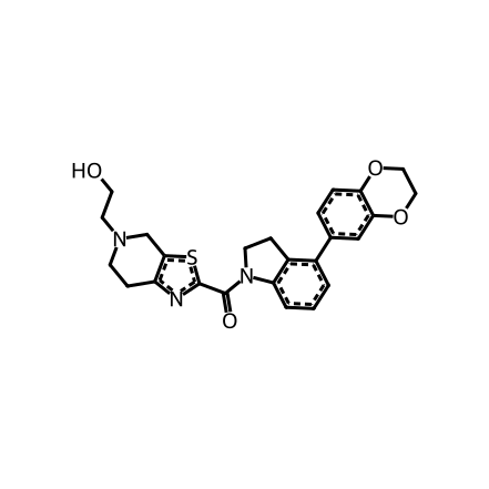 O=C(c1nc2c(s1)CN(CCO)CC2)N1CCc2c(-c3ccc4c(c3)OCCO4)cccc21